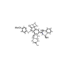 COc1ccc(CN2C(=O)C3(CCC3)c3cc(/C(=C/C=N)Nc4ccccc4)cc(OC4CCN(C)CC4F)c32)cc1